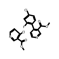 COC(=O)c1cnccc1-c1ccc(Cl)cc1F.COC(=O)c1cnccc1Cl